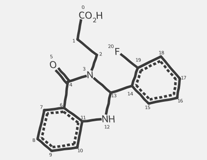 O=C(O)CCN1C(=O)c2ccccc2NC1c1ccccc1F